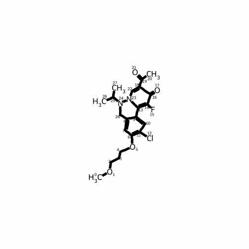 COCCCOc1cc2c(cc1Cl)-c1c(F)c(=O)c(C(C)=O)cn1N(C(C)C)C2